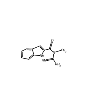 CN(C(=N)N)C(=O)c1cc2ccccc2[nH]1